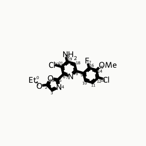 CCOc1cnc(-c2nc(-c3ccc(Cl)c(OC)c3F)cc(N)c2Cl)o1